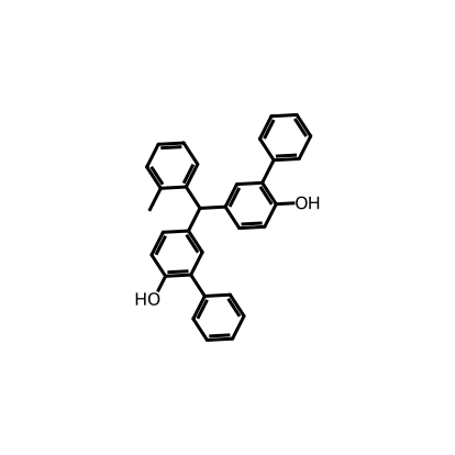 Cc1ccccc1C(c1ccc(O)c(-c2ccccc2)c1)c1ccc(O)c(-c2ccccc2)c1